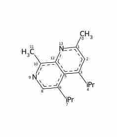 Cc1cc(C(C)C)c2c(C(C)C)cnc(C)c2n1